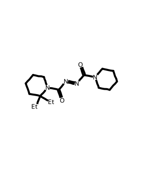 CCC1(CC)CCCCN1C(=O)N=NC(=O)N1CCCCC1